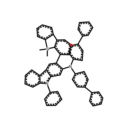 C[Si]1(C)c2ccccc2-c2cccc(-c3cc4c5ccccc5n(-c5ccccc5)c4cc3N(c3ccc(-c4ccccc4)cc3)c3ccc(-c4ccccc4)cc3)c21